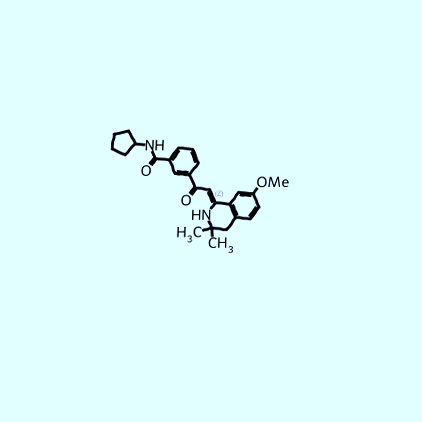 COc1ccc2c(c1)/C(=C/C(=O)c1cccc(C(=O)NC3CCCC3)c1)NC(C)(C)C2